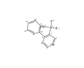 FS(F)(S)c1cnccc1-c1ccccc1